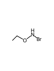 CCONBr